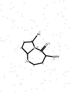 CNC1CCOC2CCC(C(C)=O)N2C1=O